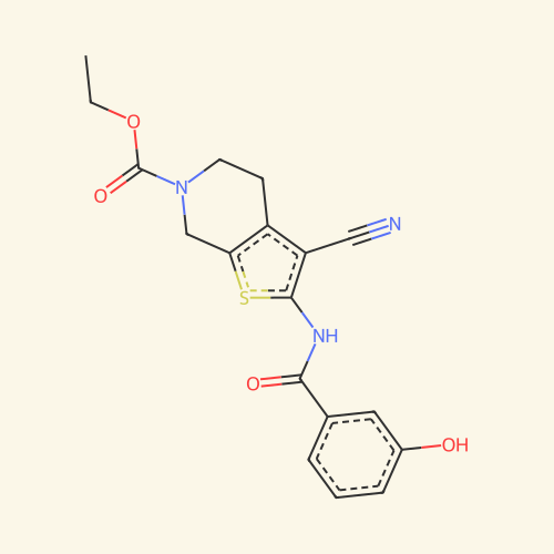 CCOC(=O)N1CCc2c(sc(NC(=O)c3cccc(O)c3)c2C#N)C1